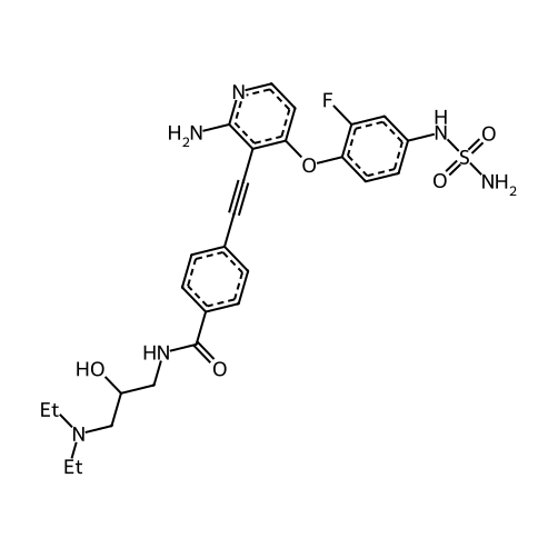 CCN(CC)CC(O)CNC(=O)c1ccc(C#Cc2c(Oc3ccc(NS(N)(=O)=O)cc3F)ccnc2N)cc1